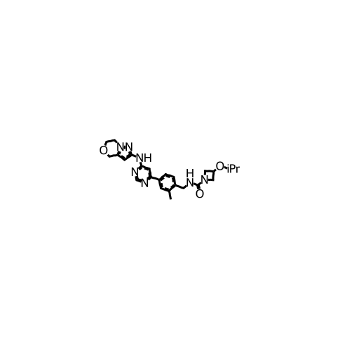 Cc1cc(-c2cc(Nc3cc4n(n3)CCOC4)ncn2)ccc1CNC(=O)N1CC(OC(C)C)C1